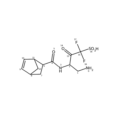 NCC(NC(=O)C1CC2C=CC1C2)C(=O)C(F)(F)S(=O)(=O)O